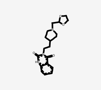 O=c1[nH]c2ccccc2c(=O)n1CCC1CCN(CC2OCCO2)CC1